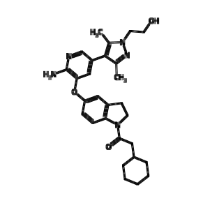 Cc1nn(CCO)c(C)c1-c1cnc(N)c(Oc2ccc3c(c2)CCN3C(=O)CC2CCCCC2)c1